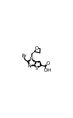 O=C(O)c1cc2c(nc(CBr)n2C[C@@H]2CCO2)s1